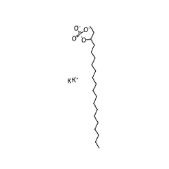 CCCCCCCCCCCCCCCCCC(CC)OP(=O)([O-])[O-].[K+].[K+]